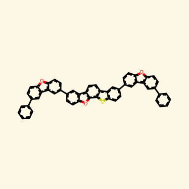 c1ccc(-c2ccc3oc4ccc(-c5ccc6oc7c(ccc8c9cc(-c%10ccc%11oc%12ccc(-c%13ccccc%13)cc%12c%11c%10)ccc9sc87)c6c5)cc4c3c2)cc1